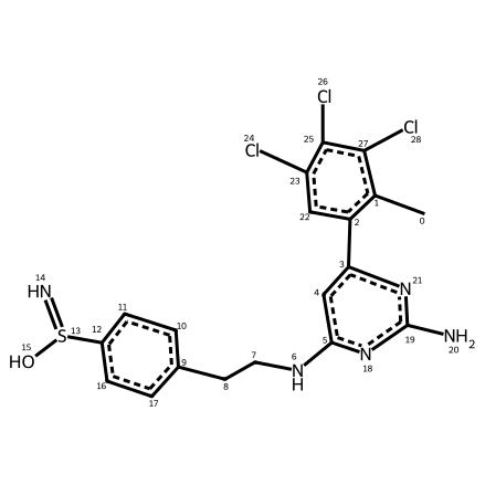 Cc1c(-c2cc(NCCc3ccc(S(=N)O)cc3)nc(N)n2)cc(Cl)c(Cl)c1Cl